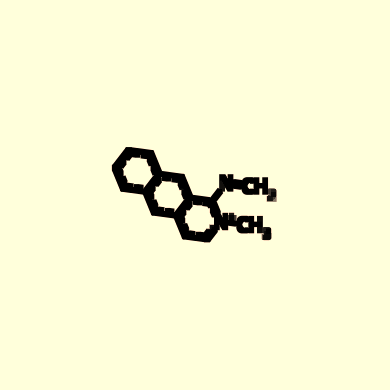 C=Nc1c2cc3ccccc3cc2cc[n+]1C